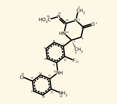 CN1C(=O)C[C@@](C)(c2cccc(Nc3cc(Cl)ccc3N)c2F)N/C1=N\C(=O)O